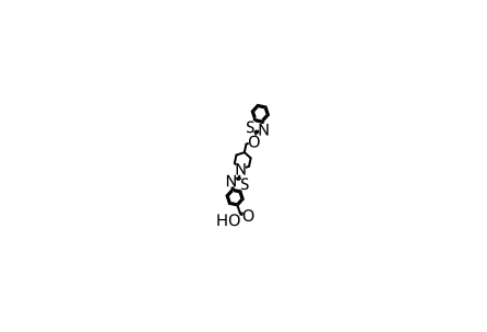 O=C(O)c1ccc2nc(N3CCC(COc4nc5ccccc5s4)CC3)sc2c1